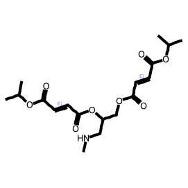 CNCC(COC(=O)/C=C/C(=O)OC(C)C)OC(=O)/C=C/C(=O)OC(C)C